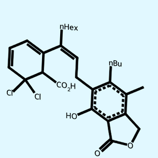 CCCCCCC(=CCc1c(O)c2c(c(C)c1CCCC)COC2=O)C1=CC=CC(Cl)(Cl)C1C(=O)O